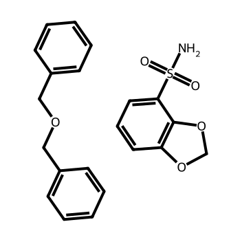 NS(=O)(=O)c1cccc2c1OCO2.c1ccc(COCc2ccccc2)cc1